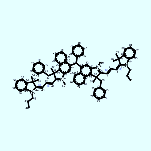 CCCN1/C(=C/C=C/C2=[N+](C)c3cc(C(c4ccccc4)c4cc5c(c6ccccc46)C(C)(Cc4ccccc4)C(/C=C/C=C4/N(CCC)c6ccccc6C4(C)C)=[N+]5C)c4ccccc4c3C2(C)Cc2ccccc2)C(C)(C)c2ccccc21